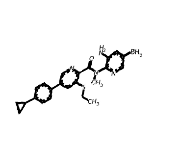 Bc1cnc(N(C)C(=O)c2ncc(-c3ccc(C4CC4)cc3)cc2SCC)c(N)c1